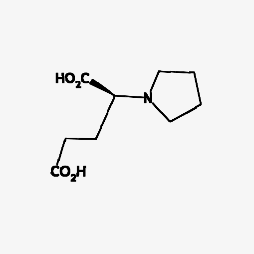 O=C(O)CC[C@@H](C(=O)O)N1CCCC1